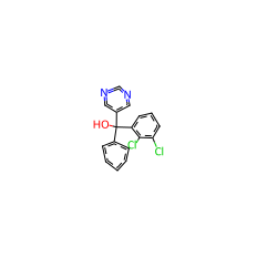 OC(c1ccccc1)(c1cncnc1)c1cccc(Cl)c1Cl